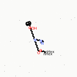 CCCCCCC(CCCCCC)CCOC(=O)CCCCCCCN(CCCCCCCC(O)OCC12CC3CC(CC(C3)C1)C2)CCCn1ccnc1